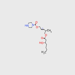 CCCCC(O)CC(=O)OCC(C)/C=C/COC(=O)N1CCNCC1